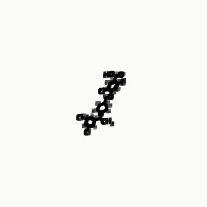 CC(c1cc(Cl)cc(Cl)c1)N1CCC(COc2cc(F)c(C(=O)O)cc2Cl)CC1